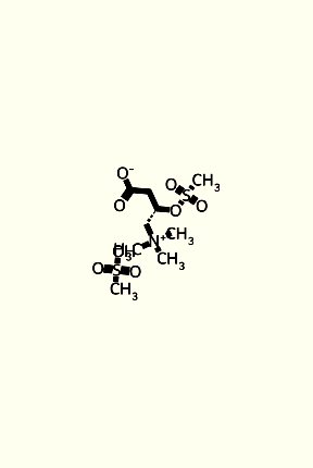 CS(=O)(=O)O.C[N+](C)(C)C[C@H](CC(=O)[O-])OS(C)(=O)=O